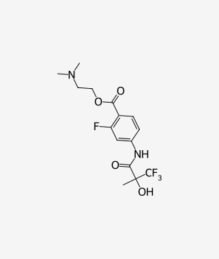 CN(C)CCOC(=O)c1ccc(NC(=O)C(C)(O)C(F)(F)F)cc1F